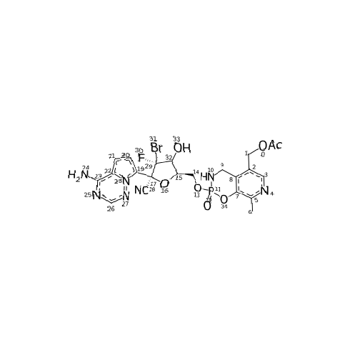 CC(=O)OCc1cnc(C)c2c1CNP(=O)(OC[C@H]1O[C@@](C#N)(c3ccc4c(N)ncnn34)[C@@](F)(Br)C1O)O2